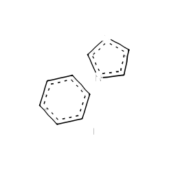 I.c1ccccc1.c1cscn1